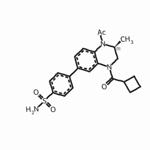 CC(=O)N1c2ccc(-c3ccc(S(N)(=O)=O)cc3)cc2N(C(=O)C2CCC2)C[C@@H]1C